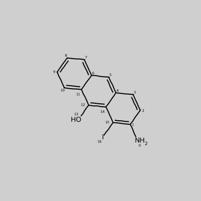 Nc1ccc2cc3ccccc3c(O)c2c1I